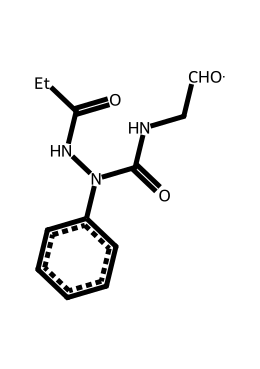 CCC(=O)NN(C(=O)NC[C]=O)c1ccccc1